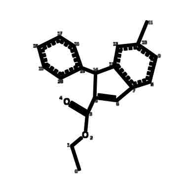 CCOC(=O)C1=Cc2ccc(C)cc2C1c1ccccc1